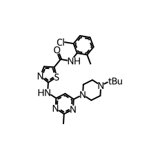 Cc1nc(Nc2ncc(C(=O)Nc3c(C)cccc3Cl)s2)cc(N2CCN(C(C)(C)C)CC2)n1